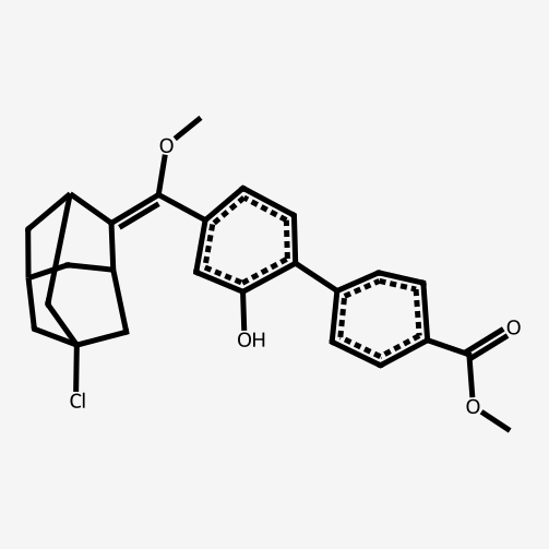 COC(=O)c1ccc(-c2ccc(C(OC)=C3C4CC5CC3CC(Cl)(C5)C4)cc2O)cc1